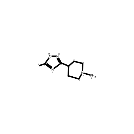 Cc1nc(C2CCN(P)CC2)no1